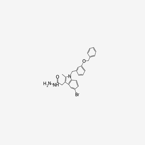 Cc1c(CC(=O)NN)c2cc(Br)ccc2n1Cc1cccc(OCc2ccccc2)c1